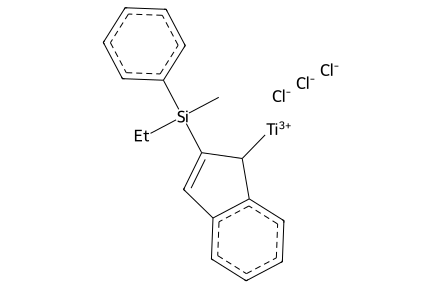 CC[Si](C)(C1=Cc2ccccc2[CH]1[Ti+3])c1ccccc1.[Cl-].[Cl-].[Cl-]